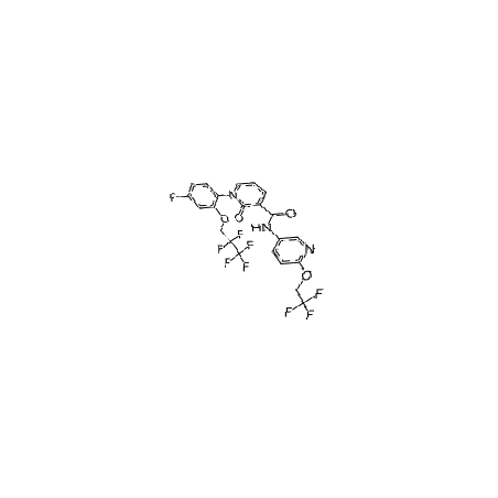 O=C(Nc1ccc(OCC(F)(F)F)nc1)c1cccn(-c2ccc(F)cc2OCC(F)(F)C(F)(F)F)c1=O